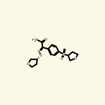 C=S(=O)(c1ccc(/C(=N\O[C@@H]2CCOC2)C(N)=O)cc1)C1CCOC1